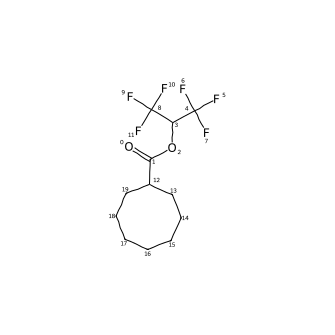 O=C(OC(C(F)(F)F)C(F)(F)F)C1CCCCCCC1